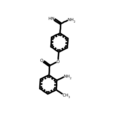 Cc1cccc(C(=O)Oc2ccc(C(=N)N)cc2)c1N